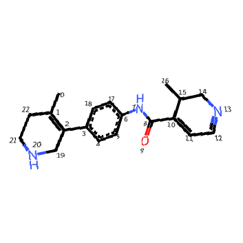 CC1=C(c2ccc(NC(=O)C3=CC=NCC3C)cc2)CNCC1